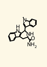 Cn1cc(C2NC(C(N)=O)Cc3c2[nH]c2ccccc32)c2ccccc21